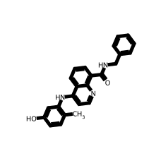 Cc1ccc(O)cc1Nc1ccnc2c(C(=O)NCc3ccccc3)cccc12